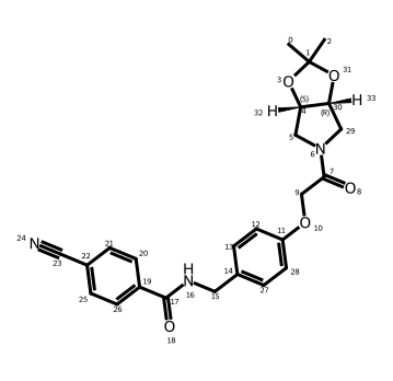 CC1(C)O[C@H]2CN(C(=O)COc3ccc(CNC(=O)c4ccc(C#N)cc4)cc3)C[C@H]2O1